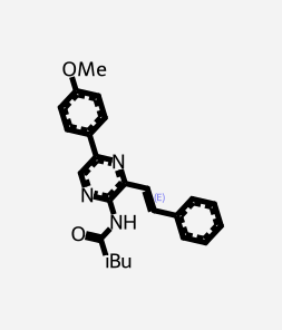 CCC(C)C(=O)Nc1ncc(-c2ccc(OC)cc2)nc1/C=C/c1ccccc1